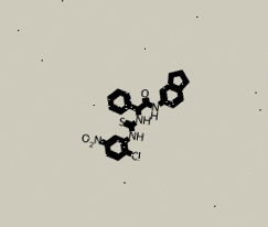 O=C(Nc1ccc2c(c1)CCC2)C(NC(=S)Nc1cc([N+](=O)[O-])ccc1Cl)c1ccccc1